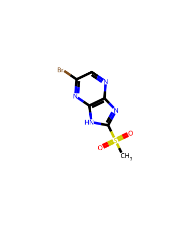 CS(=O)(=O)c1nc2ncc(Br)nc2[nH]1